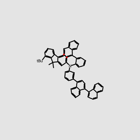 CC(C)(C)c1cccc2c1C(C)(C)c1cc(N(c3cccc(-c4ccc(-c5cccc6ccccc56)c5ccccc45)c3)c3ccccc3-c3cccc4ccccc34)ccc1-2